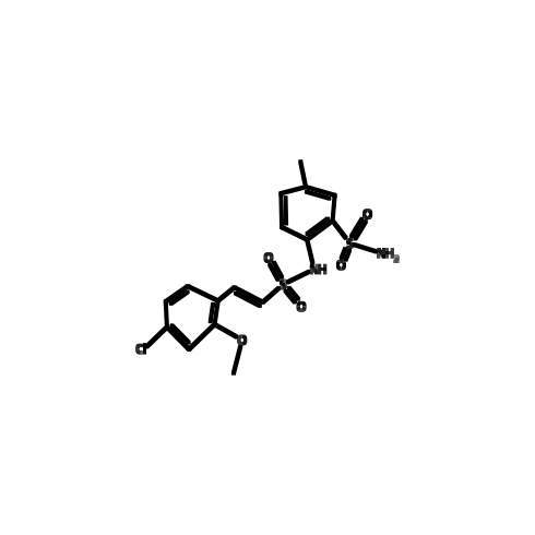 COc1cc(Cl)ccc1/C=C/S(=O)(=O)Nc1ccc(C)cc1S(N)(=O)=O